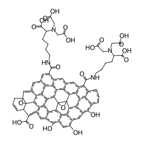 O=C(O)CN(CC(=O)O)C(CCCCNC(=O)c1c2cc3cc4c(C(=O)NCCCCC(C(=O)O)N(CC(=O)O)CC(=O)O)cc5cc6c7c8c9c(cc%10c(O)c%11cc(O)c%12cc%13c(O)c%14cccc1c%14c1c2c2c3c3c%14c(c9c%10c9c%11c%12c(c%131)C21OC9%141)c7c5c43)=C(C(=O)O)C1C=CCC2(C=6)OC812)C(=O)O